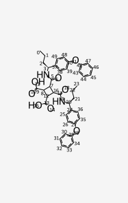 CCC[C@H](NC(=O)C1C(C(=O)O)C(C(=O)O)C1C(=O)N[C@@H](CCC)c1ccc(Oc2ccccc2)cc1)c1ccc(Oc2ccccc2)cc1